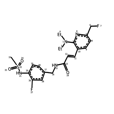 CCN(CC)c1nc(CF)ccc1/C=C/C(=O)NCc1ccc(NS(C)(=O)=O)c(F)c1